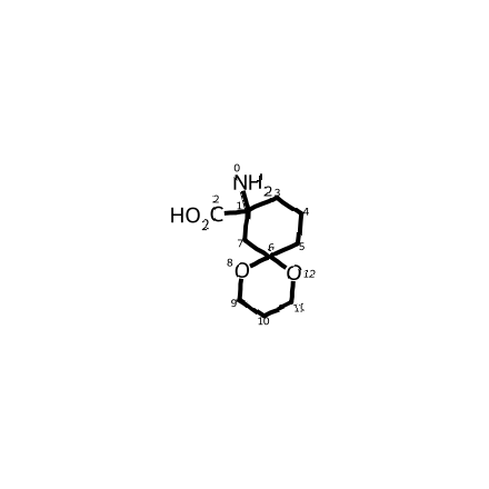 NC1(C(=O)O)CCCC2(C1)OCCCO2